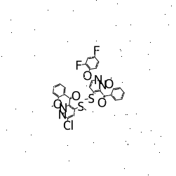 COc1ccccc1C(=O)c1nnc(Cl)cc1SC.COc1ccccc1C(=O)c1nnc(Oc2ccc(F)cc2F)cc1SC